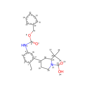 Cc1ccc(NC(=O)OCc2ccccc2)cc1C1CCN(C(=O)O)C(C(C)(C)C)C1